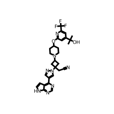 CC(C)(O)c1cc(OC2CCN(C3CC(CC#N)(n4cc(-c5ncnc6[nH]ccc56)cn4)C3)CC2)nc(C(F)(F)F)c1